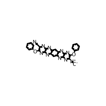 [C-]#[N+]c1nc2nc3cc4nc5nc(Oc6ccccc6)c(C#N)nc5nc4cc3nc2nc1Oc1ccccc1